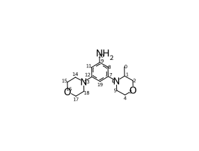 CC1COCCN1c1cc(N)cc(N2CCOCC2)c1